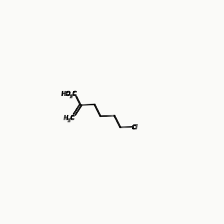 C=C(CCCCCl)C(=O)O